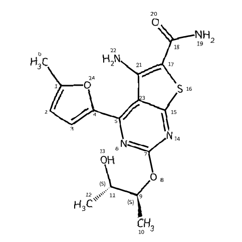 Cc1ccc(-c2nc(O[C@@H](C)[C@H](C)O)nc3sc(C(N)=O)c(N)c23)o1